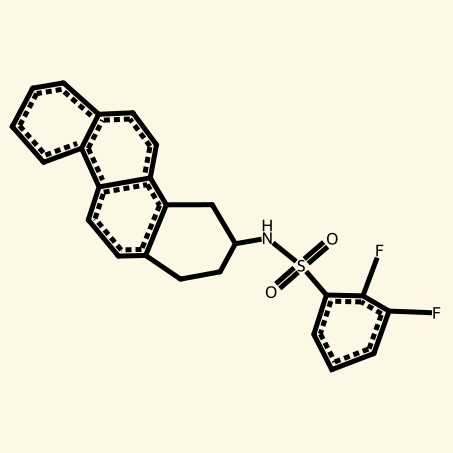 O=S(=O)(NC1CCc2ccc3c(ccc4ccccc43)c2C1)c1cccc(F)c1F